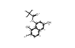 CC(C)(C)C(=O)Oc1cc(O)cc2ccc(F)c(Cl)c12